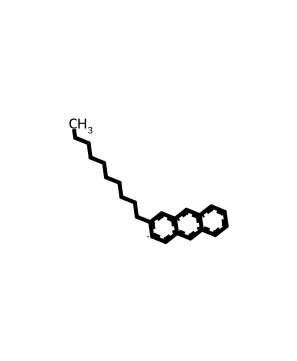 CCCCCCCCCCc1[c]cc2cc3ccccc3cc2c1